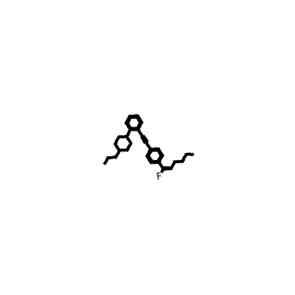 CCCC/C=C(/F)c1ccc(C#Cc2ccccc2C2CCC(CCC)CC2)cc1